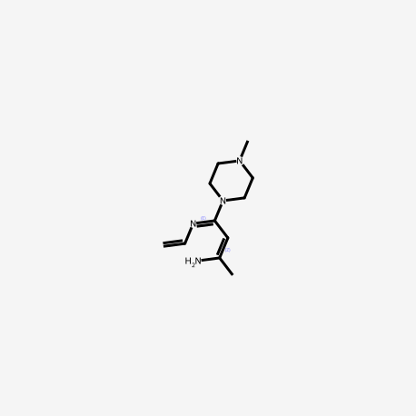 C=C/N=C(\C=C(\C)N)N1CCN(C)CC1